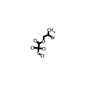 CC(Br)COC(=O)C(Cl)(Cl)SCl